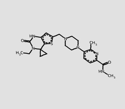 CCN1C(=O)Nc2cc(CN3CCN(c4ccc(C(=O)NC)nc4C)CC3)sc2C12CC2